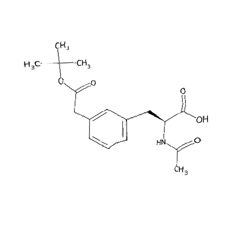 CC(=O)N[C@@H](Cc1cccc(CC(=O)OC(C)(C)C)c1)C(=O)O